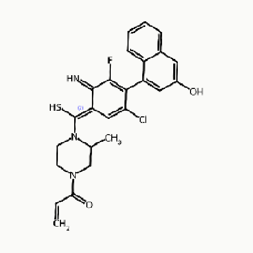 C=CC(=O)N1CCN(/C(S)=C2\C=C(Cl)C(c3cc(O)cc4ccccc34)=C(F)C2=N)C(C)C1